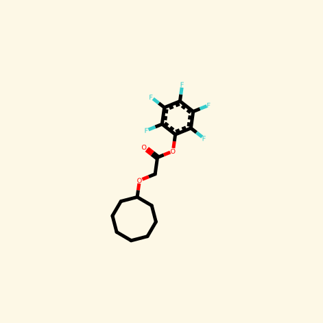 O=C(COC1CCCCCCC1)Oc1c(F)c(F)c(F)c(F)c1F